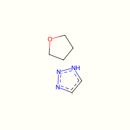 C1CCOC1.[c]1c[nH]nn1